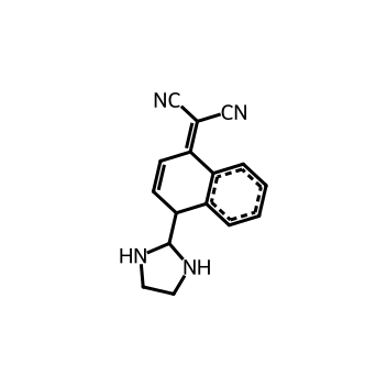 N#CC(C#N)=C1C=CC(C2NCCN2)c2ccccc21